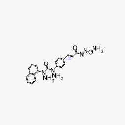 NON=NC(=O)/C=C/c1ccc(N(N)C(=O)N(N)c2cccc3ccccc23)cc1